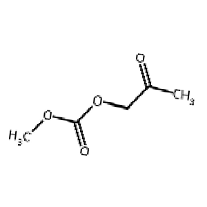 COC(=O)OCC(C)=O